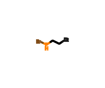 CCCCPBr